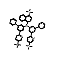 C[Si](C)(C)c1ccc(-c2cc(-c3ccccc3)cc(N(c3cc(-c4ccccc4)cc(-c4ccc([Si](C)(C)C)cn4)c3)c3ccc([Si](C)(C)C)c4ccccc34)c2)nc1